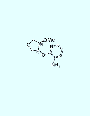 CO[C@@H]1COC[C@@H]1Oc1ncccc1N